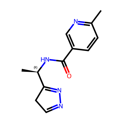 Cc1ccc(C(=O)N[C@H](C)C2=NN=CC2)cn1